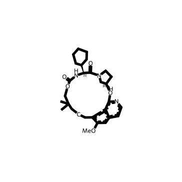 COc1cc2ccnc3c2cc1CCCC(C)(C)COC(=O)N[C@@H](C1CCCCC1)C(=O)N1CC[C@H](C1)O3